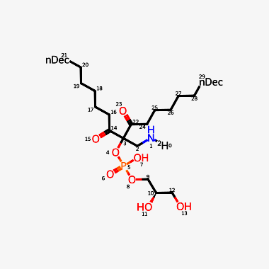 [2H]NCC(OP(=O)(O)OC[C@H](O)CO)(C(=O)CCCCCCCCCCCCCCC)C(=O)CCCCCCCCCCCCCCC